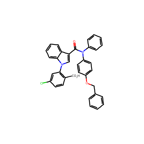 O=C(O)c1ccc(Cl)cc1-n1cc(C(=O)N(c2ccccc2)c2ccc(OCc3ccccc3)cc2)c2ccccc21